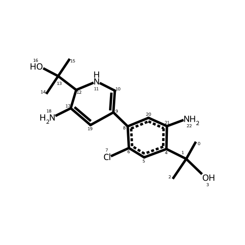 CC(C)(O)c1cc(Cl)c(C2=CNC(C(C)(C)O)C(N)=C2)cc1N